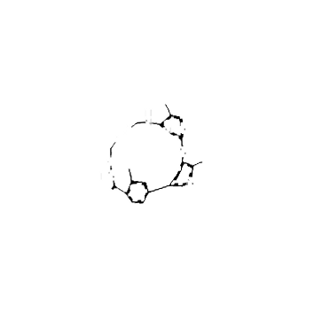 Cc1cc2ccc1C(=O)NCCCCCNc1nc(ncc1C)Nc1cc-2cnc1F